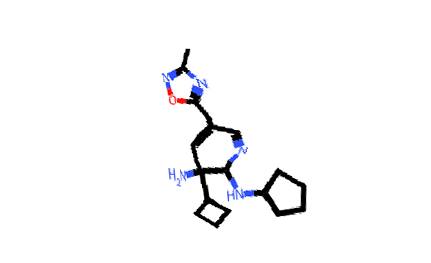 Cc1noc(C2=CC(N)(C3CCC3)C(NC3CCCC3)N=C2)n1